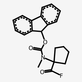 CN(C(=O)OC1c2ccccc2-c2ccccc21)C1(C(=O)F)CCCC1